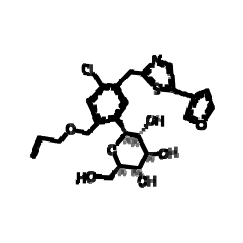 C=CCOCc1cc(Cl)c(Cc2ncc(-c3ccoc3)s2)cc1[C@@H]1O[C@H](CO)[C@@H](O)[C@H](O)[C@H]1O